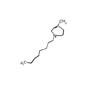 CCCCCCCCN1CC=C(C)CC1